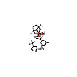 Cc1cc(Nc2cc(C(F)(F)F)ccn2)nc(-c2cnc(C3(O)C[C@H]4CC[C@H](C3)C4C(=O)O)s2)c1